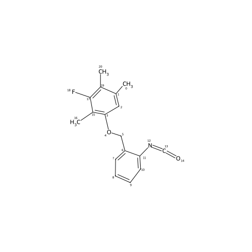 Cc1cc(OCc2ccccc2N=C=O)c(C)c(F)c1C